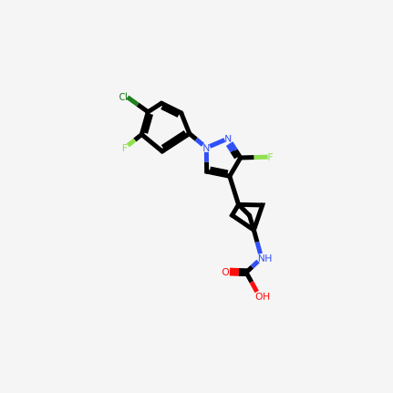 O=C(O)NC12CC(c3cn(-c4ccc(Cl)c(F)c4)nc3F)(C1)C2